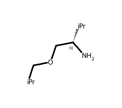 [CH2]C(C)COC[C@@H](N)C(C)C